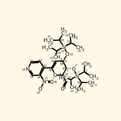 CC(C)[Si](O[C@@H]1[C@@H](C=O)OC(c2ccncc2[N+](=O)[O-])=C[C@H]1O[Si](C(C)C)(C(C)C)C(C)C)(C(C)C)C(C)C